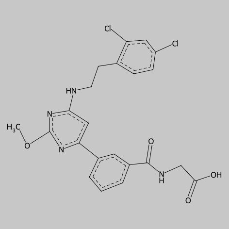 COc1nc(NCCc2ccc(Cl)cc2Cl)cc(-c2cccc(C(=O)NCC(=O)O)c2)n1